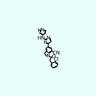 N#Cc1cc(-c2ccnc(Nc3ccnnc3)n2)cc2c1N(C(=O)Cc1ccccc1Cl)CC2